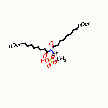 CCCCCCCCCCCCCCCCCC(=O)N(CC)C(=O)CCCCCCCCCCCCCCCCC.COS(=O)(=O)O